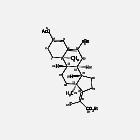 CCCCC1=C2C=C(OC(C)=O)CC[C@]2(C)[C@H]2CC[C@]3(C)C(=C(F)C(=O)OCC)CC[C@H]3[C@@H]2C1